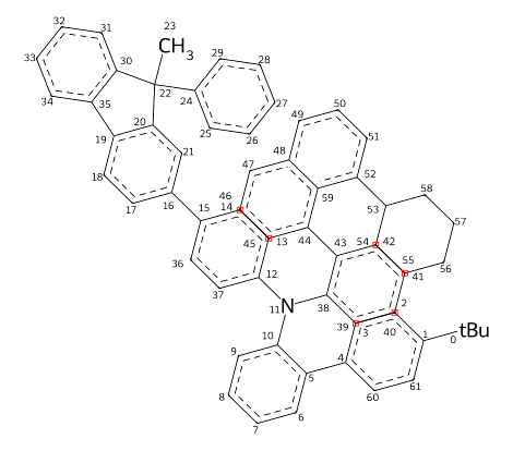 CC(C)(C)c1ccc(-c2ccccc2N(c2ccc(-c3ccc4c(c3)C(C)(c3ccccc3)c3ccccc3-4)cc2)c2ccccc2-c2cccc3cccc(C4CCCCC4)c23)cc1